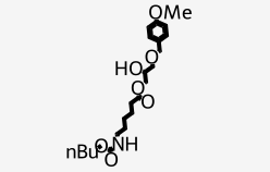 CCCCOC(=O)NCCCCCC(=O)OCC(O)COCc1ccc(OC)cc1